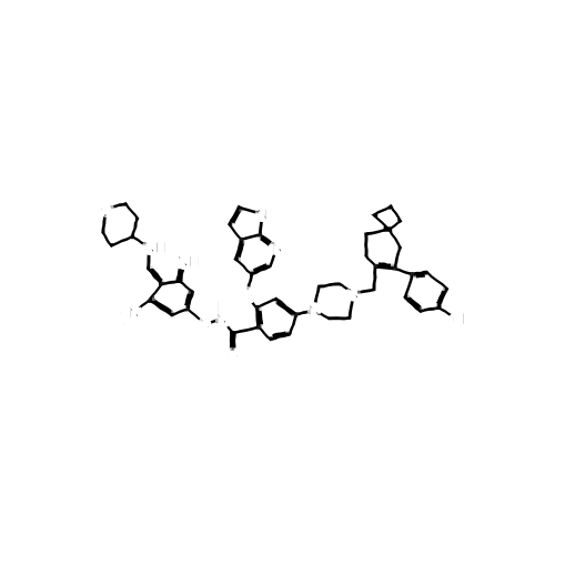 N=C1C=C(SNC(=O)c2ccc(N3CCN(CC4=C(c5ccc(Cl)cc5)CC5(CCC5)CC4)CC3)cc2Oc2cnc3[nH]ccc3c2)C=C([N+](=O)[O-])/C1=C/NC1CCOCC1